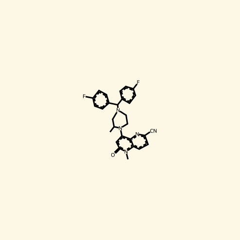 CC1CN(C(c2ccc(F)cc2)c2ccc(F)cc2)CCN1c1cc(=O)n(C)c2ccc(C#N)nc12